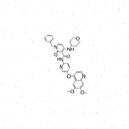 COc1cc2nccc(Oc3ccc(NC(=O)c4c(NC5CCOCC5)ccn(Cc5ccccc5)c4=O)nc3)c2cc1OC